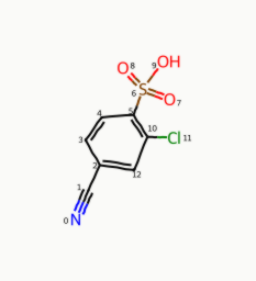 N#Cc1ccc(S(=O)(=O)O)c(Cl)c1